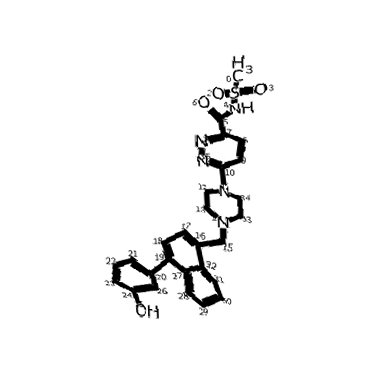 CS(=O)(=O)NC(=O)c1ccc(N2CCN(Cc3ccc(-c4cccc(O)c4)c4ccccc34)CC2)nn1